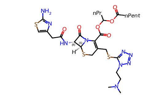 CCCCCC(=O)OC(CCC)OC(=O)C1=C(CSc2nnnn2CCN(C)C)CS[C@H]2[C@H](NC(=O)Cc3csc(N)n3)C(=O)N12